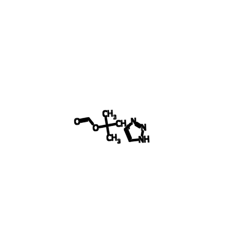 CC(C)(C)OC=O.c1c[nH]nn1